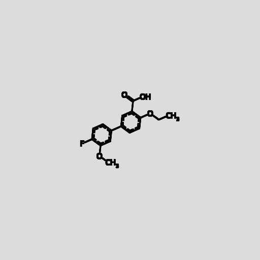 CCOc1ccc(-c2ccc(F)c(OC)c2)cc1C(=O)O